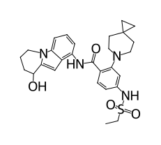 CCS(=O)(=O)Nc1ccc(C(=O)Nc2cccc3c2cc2n3CCCC2O)c(N2CCC3(CC2)CC3)c1